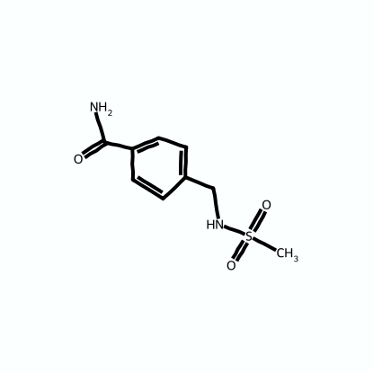 CS(=O)(=O)NCc1ccc(C(N)=O)cc1